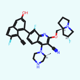 C#Cc1c(F)ccc2cc(O)cc(-c3ccc4c(N5CCNC[C@H]5C)c(C#N)c(OC[C@@]56CCCN5C[C@H](F)C6)nc4c3F)c12